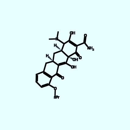 CCCOc1cccc2c1C(=O)C1=C(O)[C@]3(O)C(=O)C(C(N)=O)=C(O)C(N(C)C)[C@@H]3C[C@@H]1C2